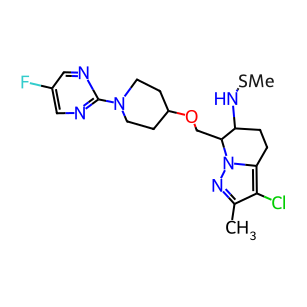 CSNC1CCc2c(Cl)c(C)nn2C1COC1CCN(c2ncc(F)cn2)CC1